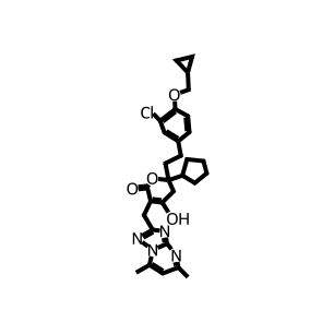 Cc1cc(C)n2nc(CC3=C(O)CC(CCc4ccc(OCC5CC5)c(Cl)c4)(C4CCCC4)OC3=O)nc2n1